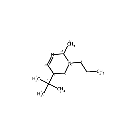 CCCN1CC(C(C)(C)C)C=NC1C